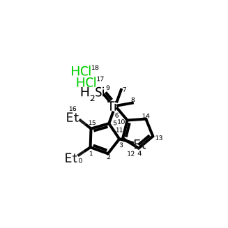 CCC1=CC(CC)[C]([Ti]([CH3])([CH3])(=[SiH2])[C]2=CC=CC2)=C1CC.Cl.Cl